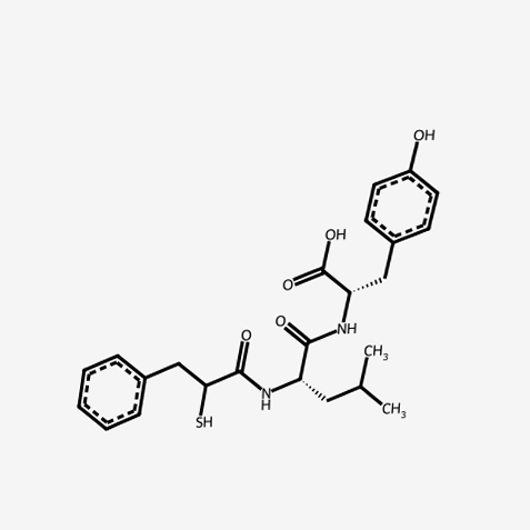 CC(C)C[C@H](NC(=O)C(S)Cc1ccccc1)C(=O)N[C@@H](Cc1ccc(O)cc1)C(=O)O